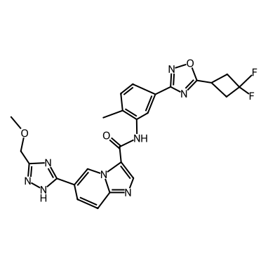 COCc1n[nH]c(-c2ccc3ncc(C(=O)Nc4cc(-c5noc(C6CC(F)(F)C6)n5)ccc4C)n3c2)n1